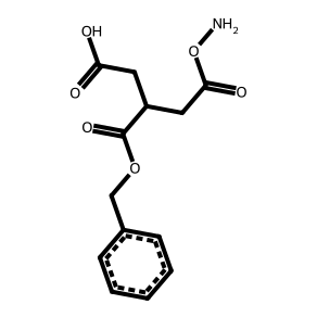 NOC(=O)CC(CC(=O)O)C(=O)OCc1ccccc1